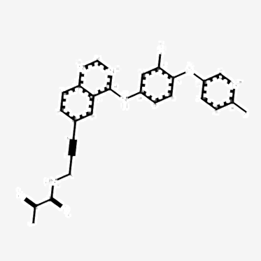 CC(=O)C(=O)NCC#Cc1ccc2ncnc(Nc3ccc(Oc4ccc(C)nc4)c(Cl)c3)c2c1